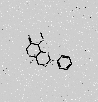 CO[C@@H]1C(=O)CO[C@@H]2CO[C@@H](c3ccccc3)OC12